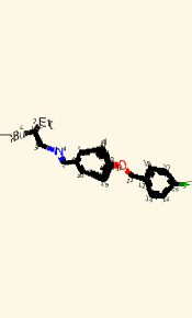 CCCCC(CC)CN=Cc1ccc(OCc2ccc(F)cc2)cc1